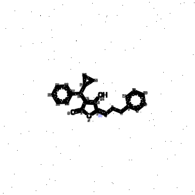 O=C1O/C(=C/CCc2ccccc2)C(O)=C1C(c1ccccc1)C1CC1